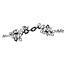 COC(=O)N[C@H](C(=O)N1CCC[C@H]1C(=O)OCC(=O)c1ccc(-c2ccc(C(=O)COC(=O)[C@@H]3CCCN3C(=O)[C@@H](NC(=O)OC)C(C)C)c3scnc23)cc1)C(C)C